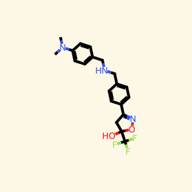 CN(C)c1ccc(CNCc2ccc(C3=NOC(O)(C(F)(F)F)C3)cc2)cc1